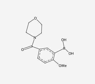 COc1ccc(C(=O)N2CCOCC2)cc1B(O)O